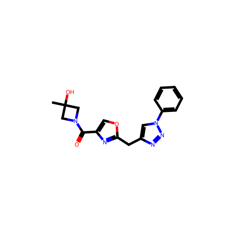 CC1(O)CN(C(=O)c2coc(Cc3cn(-c4ccccc4)nn3)n2)C1